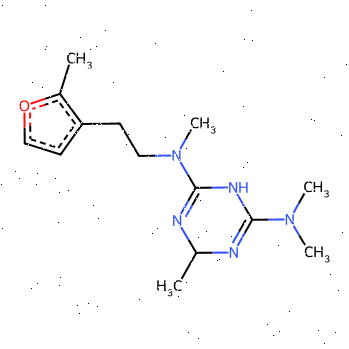 Cc1occc1CCN(C)C1=NC(C)N=C(N(C)C)N1